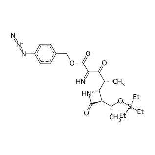 CC[Si](CC)(CC)O[C@H](C)[C@H]1C(=O)N[C@@H]1[C@@H](C)C(=O)C(=N)C(=O)OCc1ccc(N=[N+]=[N-])cc1